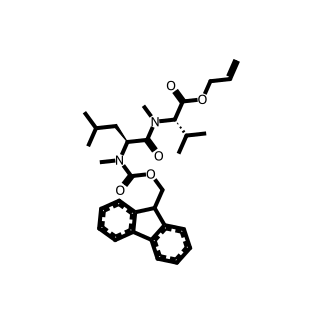 C=CCOC(=O)[C@H](C(C)C)N(C)C(=O)[C@H](CC(C)C)N(C)C(=O)OCC1c2ccccc2-c2ccccc21